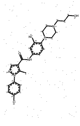 Cc1c(C(=O)Nc2ccc(N3CCN(CCCO)CC3)c(C#N)c2)cnn1-c1ccc(Cl)cc1